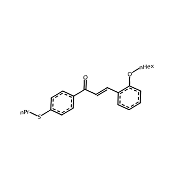 CCCCCCOc1ccccc1C=CC(=O)c1ccc(SCCC)cc1